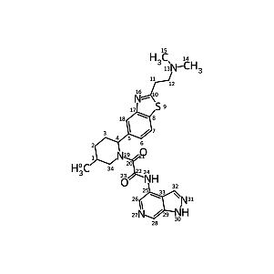 CC1CCC(c2ccc3sc(CCN(C)C)nc3c2)N(C(=O)C(=O)Nc2cncc3[nH]ncc23)C1